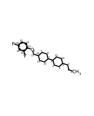 CCCC1CCC(C2CCC(COc3ccc(F)cc3F)CC2)CC1